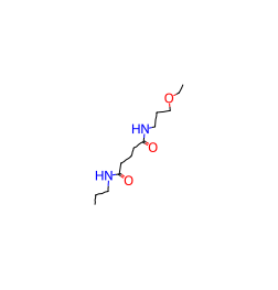 CCCNC(=O)CCCC(=O)NCCCOCC